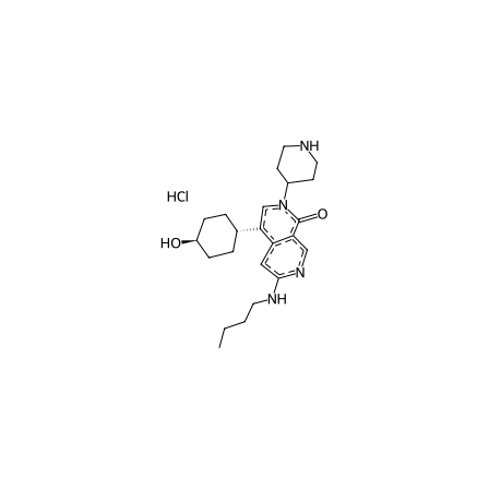 CCCCNc1cc2c(cn1)c(=O)n(C1CCNCC1)cc2[C@H]1CC[C@H](O)CC1.Cl